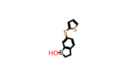 OB1CCc2ccc(Sc3cccs3)cc21